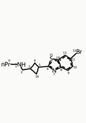 CCCNCC1CC(c2nc3ccc(Br)cc3s2)C1